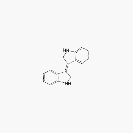 c1ccc2c(c1)NCC2=C1CNc2ccccc21